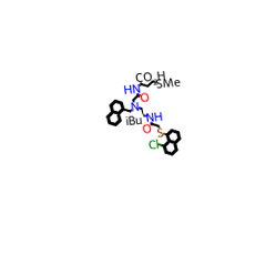 CC[C@H](C)[C@@H](CN(CC(=O)N[C@@H](CCSC)C(=O)O)Cc1cccc2ccccc12)NC(=O)CSc1cccc2cccc(Cl)c12